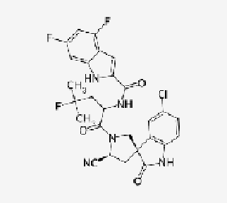 CC(C)(F)CC(NC(=O)c1cc2c(F)cc(F)cc2[nH]1)C(=O)N1C[C@]2(C[C@H]1C#N)C(=O)Nc1ccc(Cl)cc12